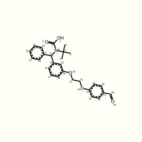 CC(C)(C)N(C(=O)O)C(c1ccccc1)c1cccc(OCCOc2ccc(C=O)cc2)c1